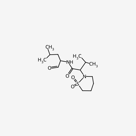 CC(C)CC(C=O)NC(=O)C(C(C)C)N1CCCCS1(=O)=O